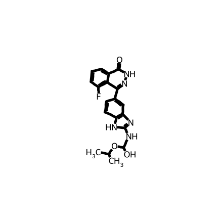 CC(C)OC(O)Nc1nc2cc(-c3n[nH]c(=O)c4cccc(F)c34)ccc2[nH]1